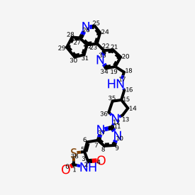 O=C1NC(=O)/C(=C\c2ccnc(N3CCC(CNCc4ccc(-c5ccnc6ccccc56)nc4)CC3)n2)S1